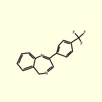 FC(F)(F)c1ccc(C2=Nc3ccccc3CN=C2)cc1